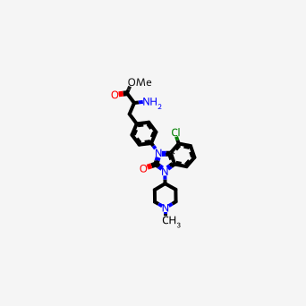 COC(=O)C(N)Cc1ccc(-n2c(=O)n(C3CCN(C)CC3)c3cccc(Cl)c32)cc1